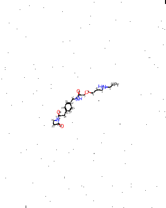 CC(C)CNCCCOCC(=O)NCc1ccc(CC(=O)N2CCC2=O)cc1